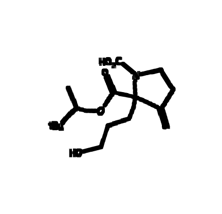 C=C1CCN(C(=O)O)C1(CCCO)C(=O)OC(C)C(C)(C)C